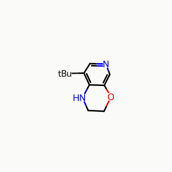 CC(C)(C)c1cncc2c1NCCO2